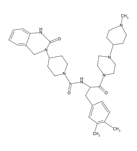 Cc1ccc(CC(NC(=O)N2CCC(N3Cc4ccccc4NC3=O)CC2)C(=O)N2CCN(C3CCN(C)CC3)CC2)cc1C